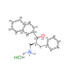 CN(C)C[C@H](Cc1ccccc1)C(=O)c1ccc2ccccc2c1.Cl